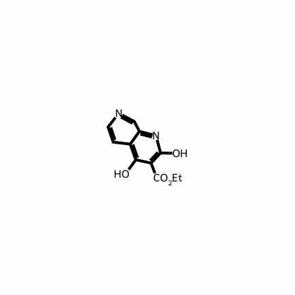 CCOC(=O)c1c(O)nc2cnccc2c1O